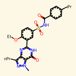 CCCc1nn(C)c2c(=O)[nH]c(-c3cc(S(=O)(=O)NC(=O)c4ccc(C(C)C)cc4)ccc3OCC)nc12